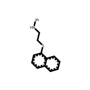 CC(C)NCCSc1cccc2ccccc12